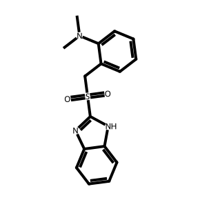 CN(C)c1ccccc1CS(=O)(=O)c1nc2ccccc2[nH]1